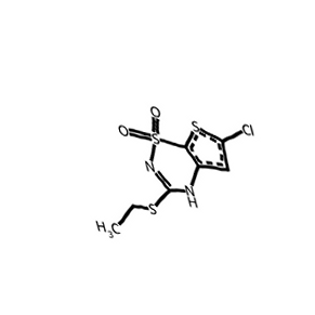 CCSC1=NS(=O)(=O)c2sc(Cl)cc2N1